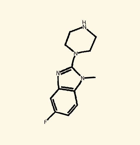 Cn1c(N2CCNCC2)nc2cc(F)ccc21